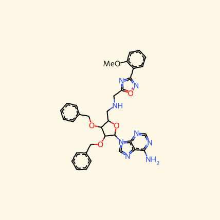 COc1ccccc1-c1noc(CNCC2OC(n3cnc4c(N)ncnc43)C(OCc3ccccc3)C2OCc2ccccc2)n1